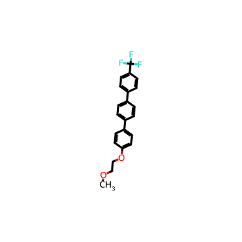 COCCOc1ccc(-c2ccc(-c3ccc(C(F)(F)F)cc3)cc2)cc1